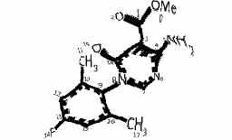 COC(=O)c1c(N)ncn(-c2c(C)cc(F)cc2C)c1=O